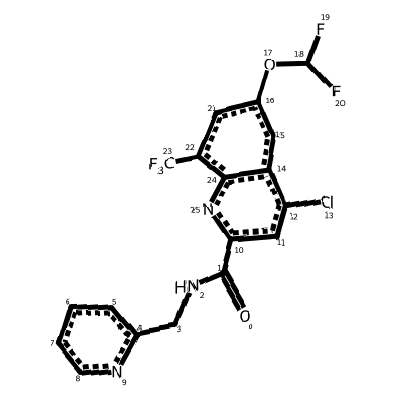 O=C(NCc1ccccn1)c1cc(Cl)c2cc(OC(F)F)cc(C(F)(F)F)c2n1